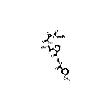 CCCNC(=O)[C@H]1OC1C(=O)N[C@H](C(=O)N1CCC[C@H]1C(=O)OCOC(=O)C1=CN(C)C=CC1)[C@@H](C)CC